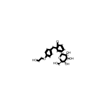 OCCOc1ccc(Cc2cc([C@H]3O[C@H](CO)[C@@H](O)[C@H](O)[C@H]3O)ccc2Cl)cc1